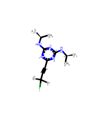 CCC(F)(C#Cc1nc(N[C@H](C)C(F)(F)F)nc(N[C@H](C)C(F)(F)F)n1)CC